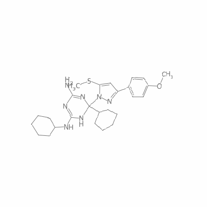 COc1ccc(-c2cc(SC)n(C3(C4CCCCC4)N=C(N)N=C(NC4CCCCC4)N3)n2)cc1